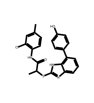 Cc1ccc(NC(=O)C(C)Sc2nc3cccc(-c4ccc(O)cc4)c3[nH]2)c(Cl)c1